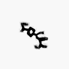 COC(=O)c1ccc(C(O)CC(=O)C(OC)OC)cc1